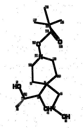 C[C@H](O)C(O)C1(CCO)CCN(OC(=O)C(C)(C)C)CC1